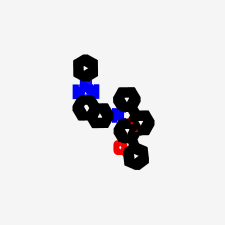 c1ccc(-c2ccccc2N(c2ccc3c(c2)oc2ccccc23)c2ccc3ccc4nn(-c5ccccc5)nc4c3c2)cc1